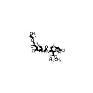 C=CCONC(=O)c1ncc(NC(=O)Nc2cnc3cc(Cl)nn3c2[C@H](C)OC)cc1Cl